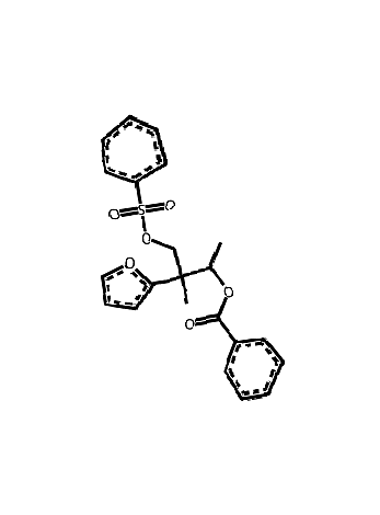 CC(OC(=O)c1ccccc1)C(C)(COS(=O)(=O)c1ccccc1)c1ccco1